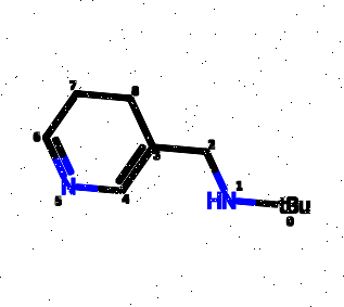 CC(C)(C)NCC1=CN=CCC1